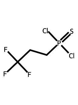 FC(F)(F)CCP(=S)(Cl)Cl